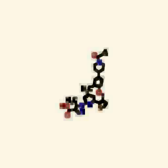 Cc1cc(C2CCN(C(=O)C3CC3)CC2)ccc1OCc1ccsc1-c1cccc(-n2ncc(C(=O)O)c2C)n1